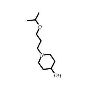 CC(C)OCCCN1CCC(O)CC1